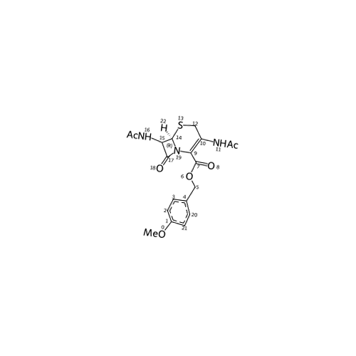 COc1ccc(COC(=O)C2=C(NC(C)=O)CS[C@@H]3C(NC(C)=O)C(=O)N23)cc1